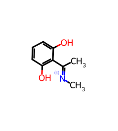 C/N=C(\C)c1c(O)cccc1O